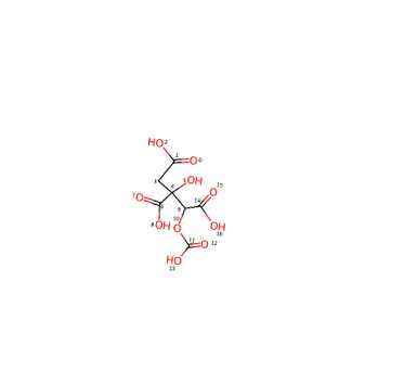 O=C(O)CC(O)(C(=O)O)C(OC(=O)O)C(=O)O